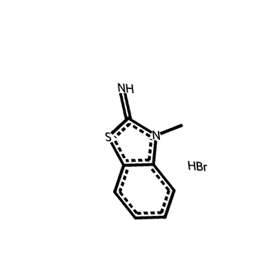 Br.Cn1c(=N)sc2ccccc21